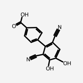 N#Cc1cc(O)c(O)c(C#N)c1-c1ccc(C(=O)O)cc1